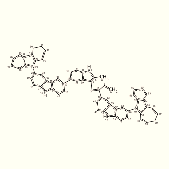 C=C/C(=C\c1c(C)[pH]c2ccc(-c3ccc4[pH]c5ccc(-n6c7c(c8ccccc86)CCC=C7)cc5c4c3)cc12)c1ccc2[pH]c3ccc(-n4c5c(c6ccccc64)C=CCC=C5)cc3c2c1